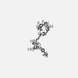 Cc1ncsc1-c1ccc(CNC(=O)C2CC(O)CN2C(=O)[C@@H](NCCCCCC(=O)N2CCN(Cc3ccc(Nc4ncc(F)c(-c5cc(F)c6nc(C)n(C(C)C)c6c5)n4)nc3)CC2)C(C)(C)C)cc1